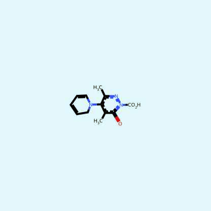 Cc1nn(C(=O)O)c(=O)c(C)c1N1C=CC=CC1